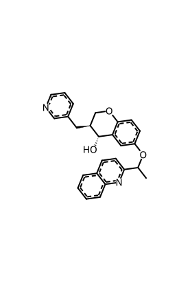 CC(Oc1ccc2c(c1)[C@H](O)[C@@H](Cc1cccnc1)CO2)c1ccc2ccccc2n1